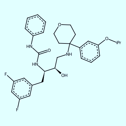 CC(C)Oc1cccc(C2(NC[C@@H](O)[C@@H](Cc3cc(F)cc(F)c3)NC(=O)Nc3ccccc3)CCOCC2)c1